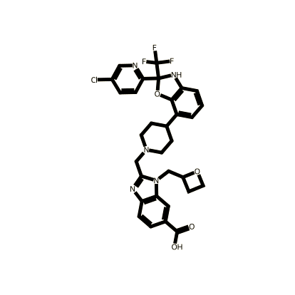 O=C(O)c1ccc2nc(CN3CCC(c4cccc5c4OC(c4ccc(Cl)cn4)(C(F)(F)F)N5)CC3)n(CC3CCO3)c2c1